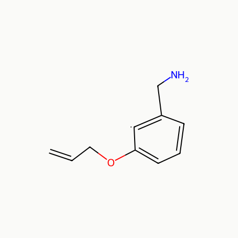 C=CCOc1[c]c(CN)ccc1